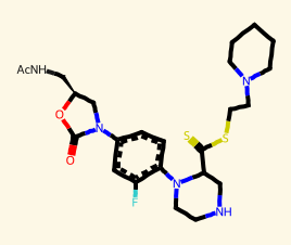 CC(=O)NC[C@H]1CN(c2ccc(N3CCNCC3C(=S)SCCN3CCCCC3)c(F)c2)C(=O)O1